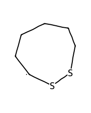 [CH]1CCCCCSS1